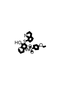 CCOc1ccc(S(=O)(=O)Nc2cc(Sc3cccc4cccnc34)c(O)c3ccccc23)cc1